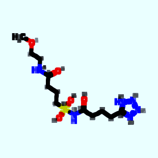 COCCNC(=O)CCCS(=O)(=O)NC(=O)CCCc1nnn[nH]1